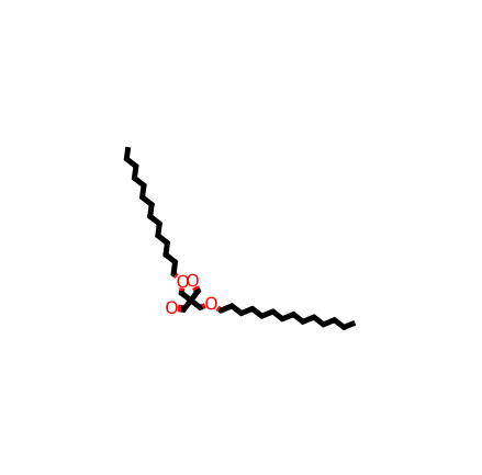 CCCCCCCCCCCCCCOCC(C=O)(C=O)COCCCCCCCCCCCCCC